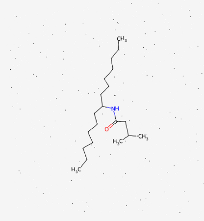 CCCCCCCC(CCCCCCC)NC(=O)CC(C)C